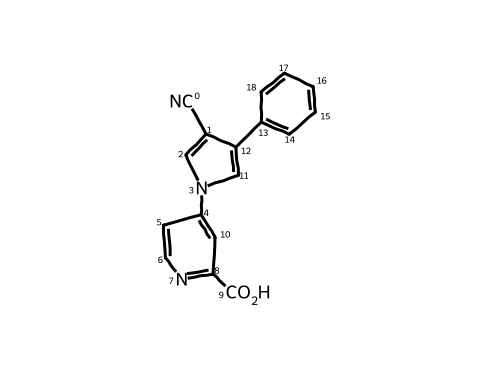 N#Cc1cn(-c2ccnc(C(=O)O)c2)cc1-c1ccccc1